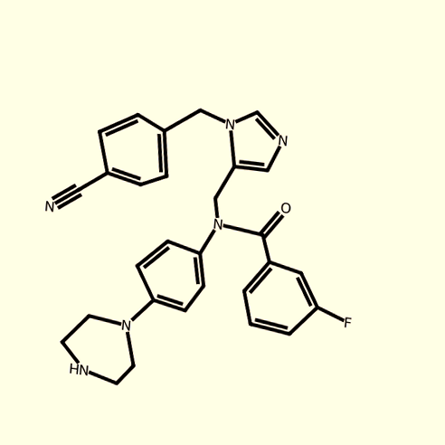 N#Cc1ccc(Cn2cncc2CN(C(=O)c2cccc(F)c2)c2ccc(N3CCNCC3)cc2)cc1